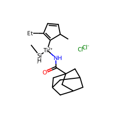 CCC1=[C]([Ti+2]([NH]C(=O)C23CC4CC(CC(C4)C2)C3)[SiH](C)C)C(C)C=C1.[Cl-].[Cl-]